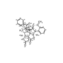 COc1ccccc1N1C(=O)[C@H](OC(=O)c2ccccc2)C23[C@@H]1OC(=O)[C@@]21CC(=O)O[C@H]1C[C@@]3(O)C(C)(C)C